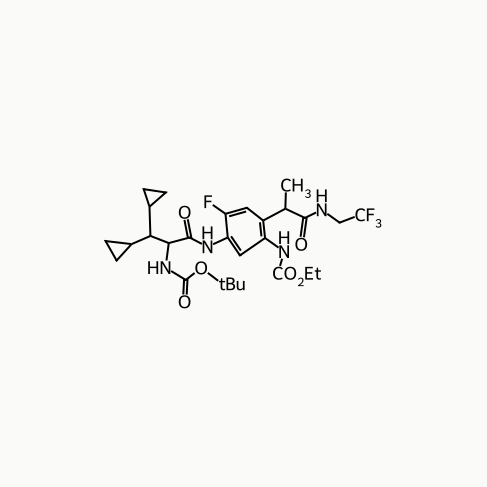 CCOC(=O)Nc1cc(NC(=O)C(NC(=O)OC(C)(C)C)C(C2CC2)C2CC2)c(F)cc1C(C)C(=O)NCC(F)(F)F